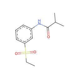 CCS(=O)(=O)c1cccc(NC(=O)C(C)C)c1